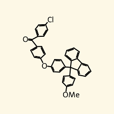 COc1ccc(C2(c3ccc(Oc4ccc(C(=O)c5ccc(Cl)cc5)cc4)cc3)c3ccccc3-c3ccccc32)cc1